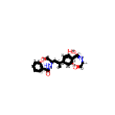 C/C(=C\C1COc2ccccc2C(=O)N1)c1ccc2c(c1)OCCN=C2O